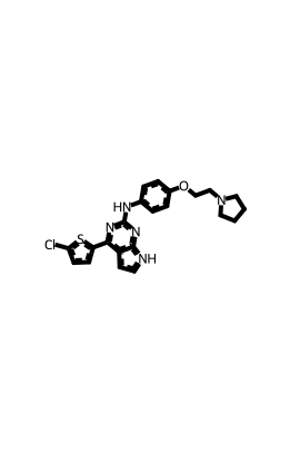 Clc1ccc(-c2nc(Nc3ccc(OCCN4CCCC4)cc3)nc3[nH]ccc23)s1